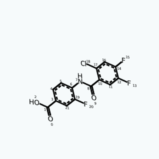 O=C(O)c1ccc(NC(=O)c2cc(F)c(F)cc2Cl)c(F)c1